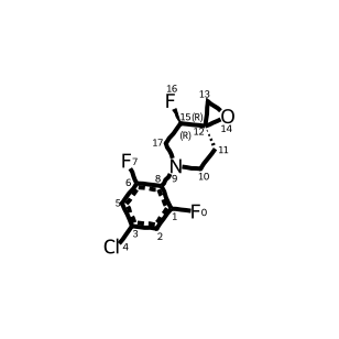 Fc1cc(Cl)cc(F)c1N1CC[C@@]2(CO2)[C@H](F)C1